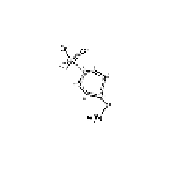 [CH2]CS(=O)(=O)c1ccc(CN)cc1